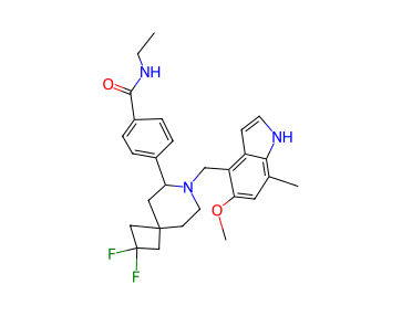 CCNC(=O)c1ccc(C2CC3(CCN2Cc2c(OC)cc(C)c4[nH]ccc24)CC(F)(F)C3)cc1